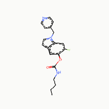 CCCCNC(=O)Oc1cc2ccn(Cc3ccncc3)c2cc1F